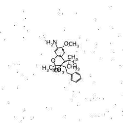 COc1cc2c(cc1N)OC(C)(C)[C@@](O)(CCc1ccccc1)[C]2C(C)(C)C